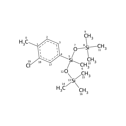 Cc1ccc([Si](C)(O[Si](C)(C)C)O[Si](C)(C)C)cc1Cl